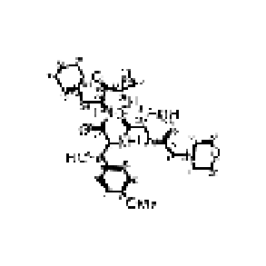 COc1ccc([C@@H](O)[C@H](NC(=O)[C@H](CO)NC(=O)CN2CCOCC2)C(=O)N[C@@H](CC2=CCCCC2)C(=O)[C@@]2(C)CO2)cc1